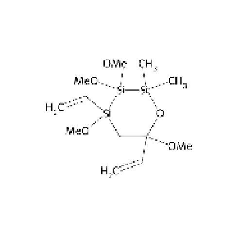 C=CC1(OC)C[Si](C=C)(OC)[Si](OC)(OC)[Si](C)(C)O1